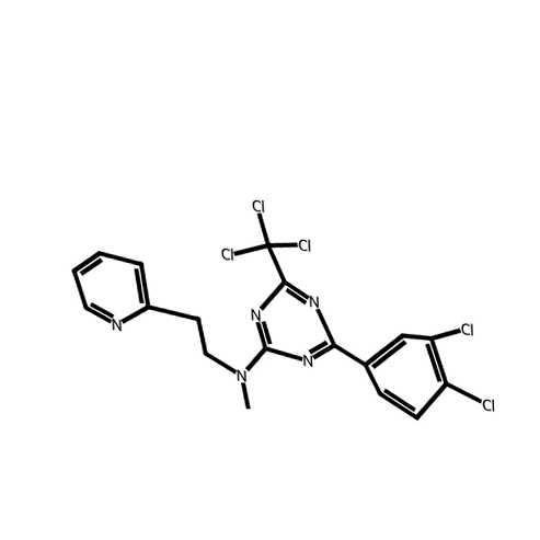 CN(CCc1ccccn1)c1nc(-c2ccc(Cl)c(Cl)c2)nc(C(Cl)(Cl)Cl)n1